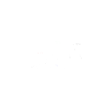 CCOC(=O)C1=C(O)CCN(CC2=Cc3ccc(OC)cc32)C1.Cl